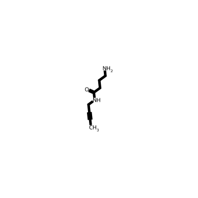 CC#CCNC(=O)CCCN